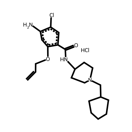 C=CCOc1cc(N)c(Cl)cc1C(=O)NC1CCN(CC2CCCCC2)CC1.Cl